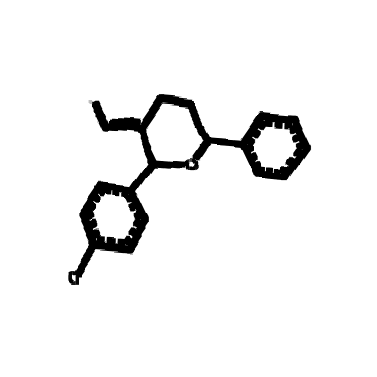 [CH2]C=C1CCC(c2ccccc2)OC1c1ccc(Cl)cc1